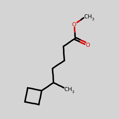 COC(=O)CCCC(C)C1CCC1